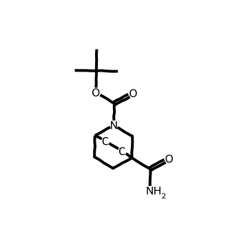 CC(C)(C)OC(=O)N1CC2(C(N)=O)CCC1CC2